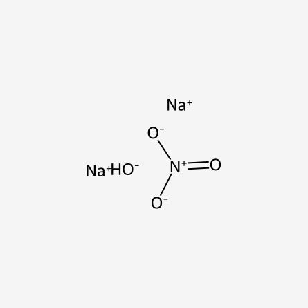 O=[N+]([O-])[O-].[Na+].[Na+].[OH-]